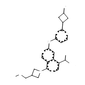 CSCC1CN(c2ncc(C(C)C)c3cc(Nc4ccnc(C5CC(O)C5)n4)ncc23)C1